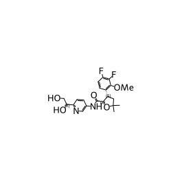 COc1c([C@@H]2CC(C)(C)O[C@H]2C(=O)Nc2ccc([C@@H](O)CO)nc2)ccc(F)c1F